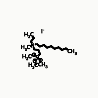 C=CC[N+](C)(CCCCCCCCCC)CCC[Si](OC)(OC)OC.[I-]